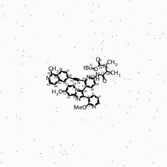 COc1ncccc1-c1nc2cc(C)ccn2c1-c1ccc(NC(=O)C(C)N(C)C(=O)OC(C)(C)C)nc1C#Cc1ccc2c(C)nccc2c1